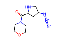 [N-]=[N+]=N[C@@H]1CN[C@H](C(=O)N2CCOCC2)C1